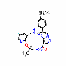 CC(=O)Nc1ccc(-c2cn3ncc4c3nc2NCc2cc(F)cnc2O[C@@H](C)CNC4=O)cc1